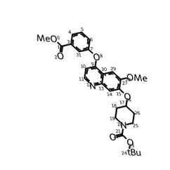 COC(=O)c1cccc(Oc2ccnc3cc(OC4CCN(C(=O)OC(C)(C)C)CC4)c(OC)cc23)c1